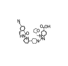 N#Cc1ccc(C(=O)Nc2cccc(C3CCN(Cc4nc5ccc(C(=O)O)cc5n4C[C@@H]4CCCO4)CC3)n2)c(F)c1